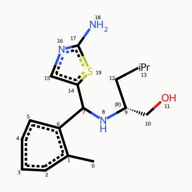 Cc1ccccc1C(N[C@@H](CO)CC(C)C)c1cnc(N)s1